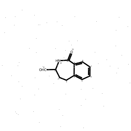 O=CC1CCc2ccccc2C(=O)N1